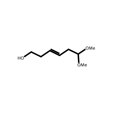 COC(C/C=C/CCO)OC